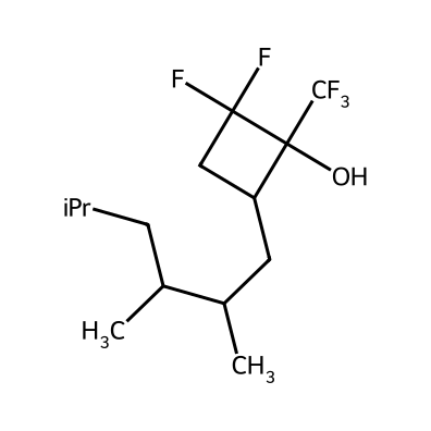 CC(C)CC(C)C(C)CC1CC(F)(F)C1(O)C(F)(F)F